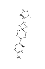 Nc1ccc(N2CCC3(CC2)CC(c2ncco2)C3)cn1